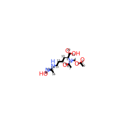 CC(=O)OCN(C(C)=O)[C@@H](CCCCN/C(C)=N/O)C(=O)O